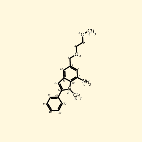 COCCOCc1cc(N)c2c(c1)cc(-c1ccccc1)n2C